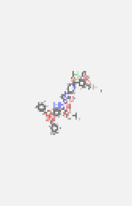 COC(=O)C(NC(=O)N1CCN(C2CCN(C(=O)c3ccc(OC)c(OC)c3Cl)CC2)C1=O)c1ccc(P(=O)(OCc2ccccc2)OCc2ccccc2)cc1